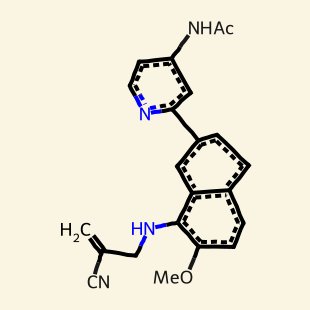 C=C(C#N)CNc1c(OC)ccc2ccc(-c3cc(NC(C)=O)ccn3)cc12